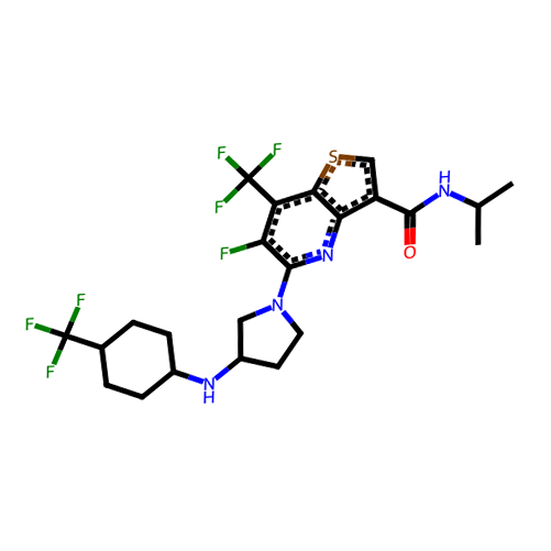 CC(C)NC(=O)c1csc2c(C(F)(F)F)c(F)c(N3CCC(NC4CCC(C(F)(F)F)CC4)C3)nc12